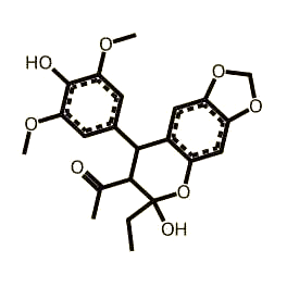 CCC1(O)Oc2cc3c(cc2C(c2cc(OC)c(O)c(OC)c2)C1C(C)=O)OCO3